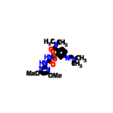 COc1cc(OC)nc(NC(=O)NS(=O)(=O)c2cc(/N=C/N(C)C)ccc2C(=O)N(C)C)n1